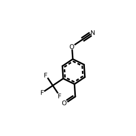 N#COc1ccc(C=O)c(C(F)(F)F)c1